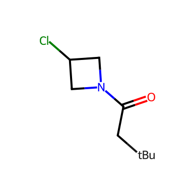 CC(C)(C)CC(=O)N1CC(Cl)C1